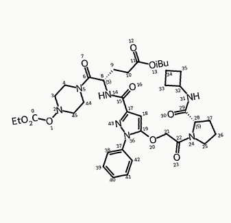 CCOC(=O)ON1CCN(C(=O)[C@H](CCC(=O)OCC(C)C)NC(=O)c2cc(OCC(=O)N3CCC[C@H]3C(=O)NC3CCC3)n(-c3ccccc3)n2)CC1